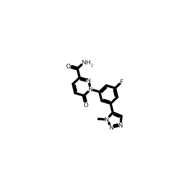 Cn1nncc1-c1cc(F)cc(-n2nc(C(N)=O)ccc2=O)c1